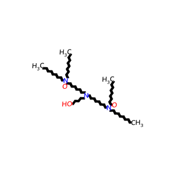 CCCCCCCCCCN(CCCCCCCCN(CCCCCO)CCCCCCCC(=O)N(CCCCCCCCCC)CCCCCCCCCC)C(=O)CCCCCCCCC